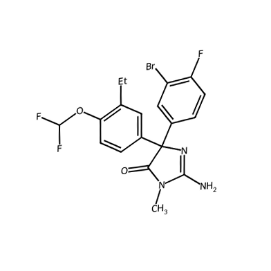 CCc1cc(C2(c3ccc(F)c(Br)c3)N=C(N)N(C)C2=O)ccc1OC(F)F